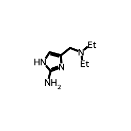 CCN(CC)Cc1c[nH]c(N)n1